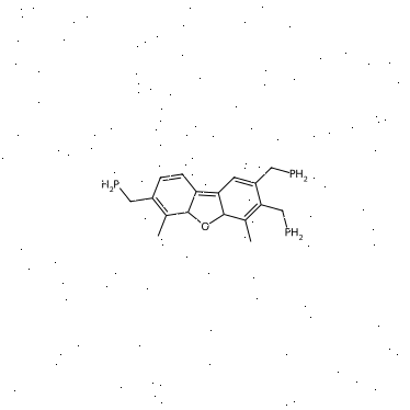 CC1=C(CP)C=CC2=C3C=C(CP)C(CP)=C(C)C3OC12